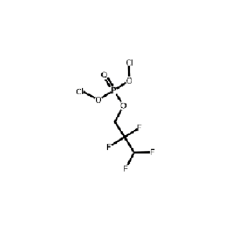 O=P(OCl)(OCl)OCC(F)(F)C(F)F